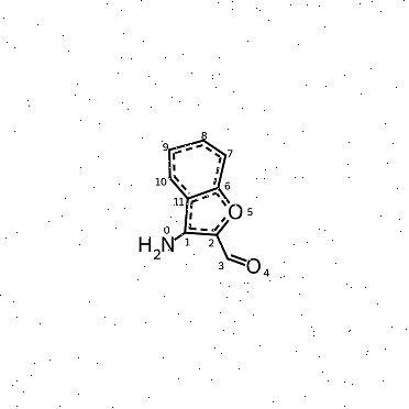 Nc1c(C=O)oc2ccccc12